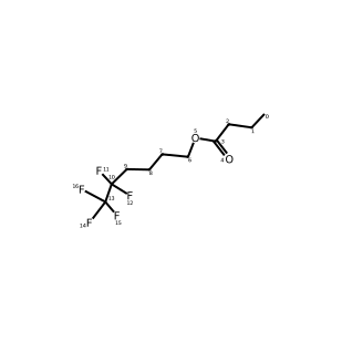 CCCC(=O)OCCCCC(F)(F)C(F)(F)F